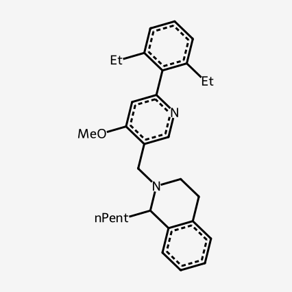 CCCCCC1c2ccccc2CCN1Cc1cnc(-c2c(CC)cccc2CC)cc1OC